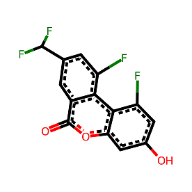 O=c1oc2cc(O)cc(F)c2c2c(F)cc(C(F)F)cc12